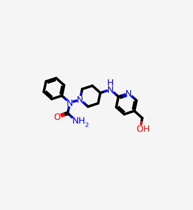 NC(=O)N(c1ccccc1)N1CCC(Nc2ccc(CO)cn2)CC1